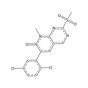 Cn1c(=O)c(-c2cc(Cl)ccc2Cl)cc2cnc(S(C)(=O)=O)nc21